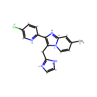 Cc1ccn2c(Cc3ncc[nH]3)c(-c3ccc(Cl)cn3)nc2c1